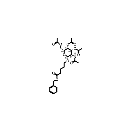 CC(=O)N[C@H]1[C@H](OCCCCC(=O)OCc2ccccc2)O[C@H](COC(C)=O)[C@H](OC(C)=O)[C@@H]1OC(C)=O